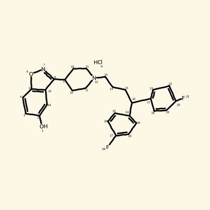 Cl.Oc1ccc2onc(C3CCN(CCCC(c4ccc(F)cc4)c4ccc(F)cc4)CC3)c2c1